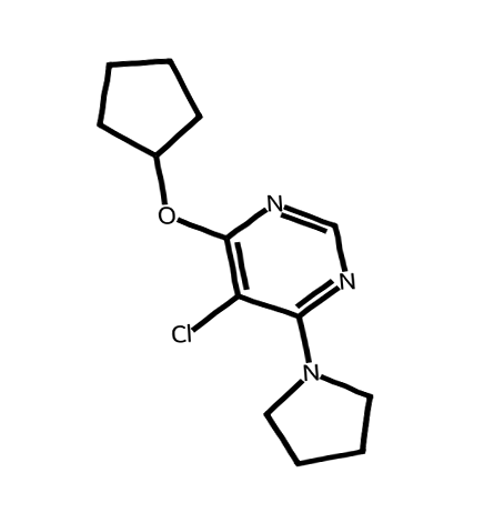 Clc1c(OC2CCCC2)ncnc1N1CCCC1